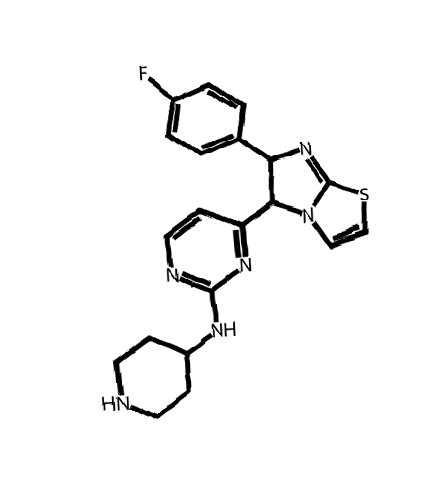 Fc1ccc(C2N=C3SC=CN3C2c2ccnc(NC3CCNCC3)n2)cc1